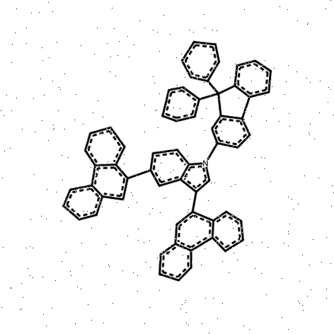 c1ccc(C2(c3ccccc3)c3ccccc3-c3ccc(-n4cc(-c5cc6ccccc6c6ccccc56)c5cc(-c6cc7ccccc7c7ccccc67)ccc54)cc32)cc1